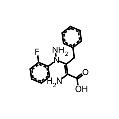 N/C(C(=O)O)=C(/Cc1ccccc1)N(N)c1ccccc1F